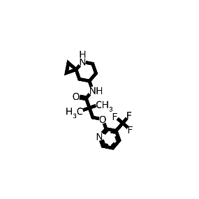 CC(C)(COc1ncccc1C(F)(F)F)C(=O)NC1CCNC2(CC2)C1